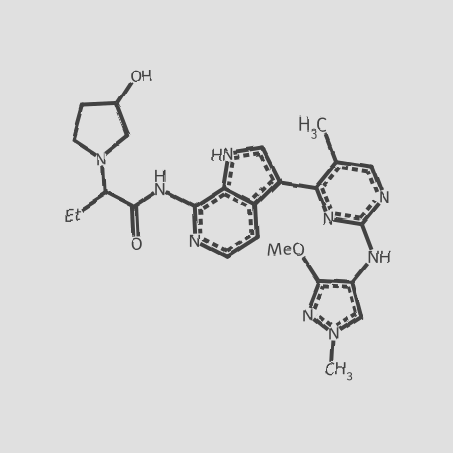 CCC(C(=O)Nc1nccc2c(-c3nc(Nc4cn(C)nc4OC)ncc3C)c[nH]c12)N1CCC(O)C1